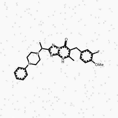 COc1ccc(Cc2c(C)[nH]c3nc(C(C)N4CCN(c5ccccc5)CC4)nn3c2=O)cc1F